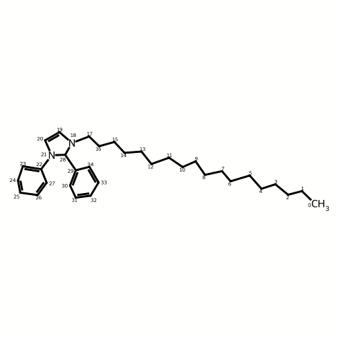 CCCCCCCCCCCCCCCCCCN1C=CN(c2ccccc2)C1c1ccccc1